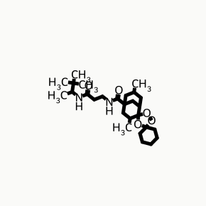 CC1CC2CC(C(=O)NCCC(=O)NC(C)C(C)(C)C)(C1)CC(C)C21OOC2(CCCCC2)O1